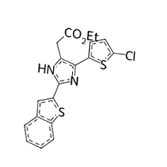 CCOC(=O)Cc1[nH]c(-c2cc3ccccc3s2)nc1-c1ccc(Cl)s1